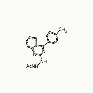 CC(=O)NNc1nc(-c2ccc(C)cc2)c2ccccc2n1